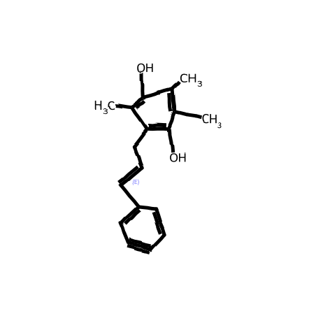 Cc1c(C)c(O)c(C/C=C/c2cc#ccc2)c(C)c1O